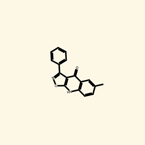 Cc1ccc2[nH]c3onc(-c4ccccc4)c3c(=O)c2c1